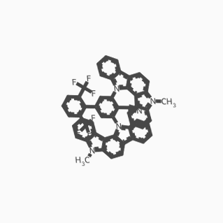 Cn1c2ccccc2c2c1ccc1c3ccccc3n(-c3cc(-c4c(C(F)(F)F)cccc4C(F)(F)F)cc(-n4c5ccccc5c5ccc6c(c7ccccc7n6C)c54)c3C#N)c12